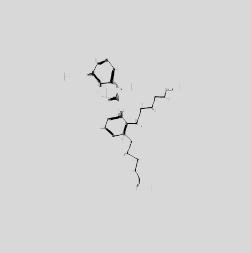 CCCCCCc1cccc(OC(=O)Nc2cccc(C)c2C)c1CCCCCC